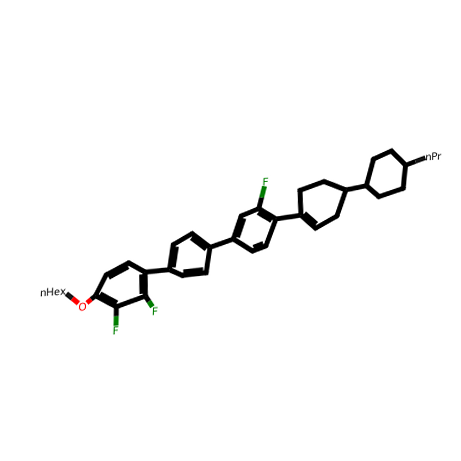 CCCCCCOc1ccc(-c2ccc(-c3ccc(C4=CCC(C5CCC(CCC)CC5)CC4)c(F)c3)cc2)c(F)c1F